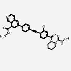 NNC(=O)c1cc(-c2ccc(C#Cc3ccc(C(=O)N4CCCC[C@H]4C(=O)NO)cc3Cl)cc2)nc2ccncc12